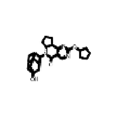 O=C(NC1C2CC3CC1CC(O)(C3)C2)c1cnc(OC2CCCC2)nc1C1CCCC1